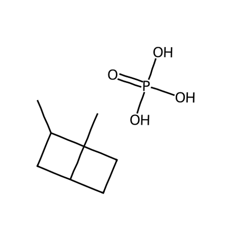 CC1CC2CCC12C.O=P(O)(O)O